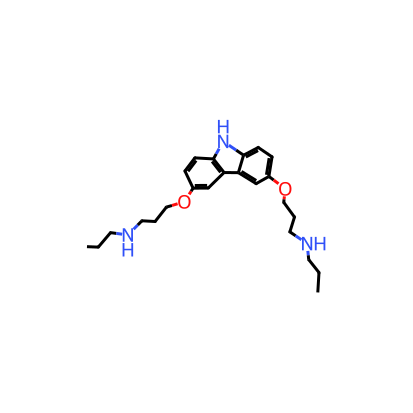 CCCNCCCOc1ccc2[nH]c3ccc(OCCCNCCC)cc3c2c1